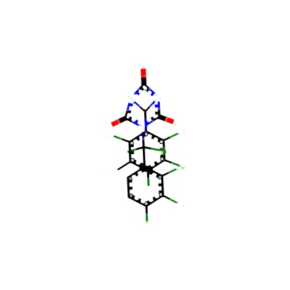 Cc1c(Br)c(Br)c(Br)c(C2n3c(=O)n2c(=O)n(C(Br)(Br)c2ccc(Br)c(Br)c2Br)c3=O)c1Br